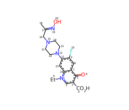 CCn1cc(C(=O)O)c(=O)c2cc(F)c(N3CCN(CC(C)=NO)CC3)cc21